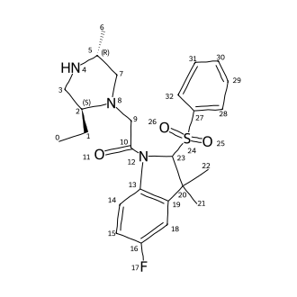 CC[C@H]1CN[C@H](C)CN1CC(=O)N1c2ccc(F)cc2C(C)(C)C1S(=O)(=O)c1ccccc1